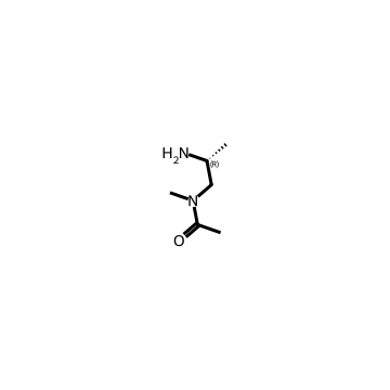 CC(=O)N(C)C[C@@H](C)N